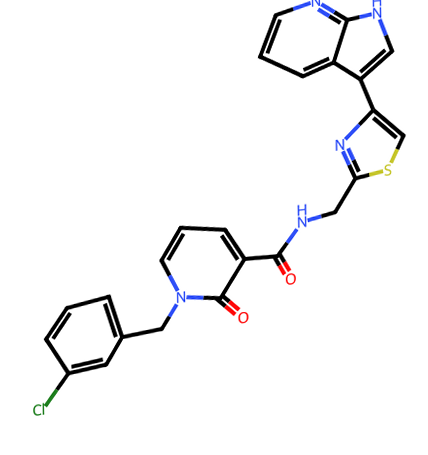 O=C(NCc1nc(-c2c[nH]c3ncccc23)cs1)c1cccn(Cc2cccc(Cl)c2)c1=O